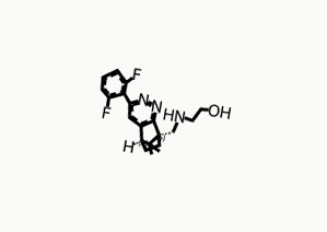 CC1(C)[C@H]2CC[C@]1(CNCCO)c1nnc(-c3c(F)cccc3F)cc12